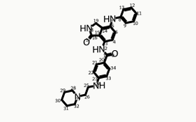 O=C(Nc1ccc(Nc2ccccc2)c2c1C(=O)NC2)c1ccc(NCCN2CCCCC2)cc1